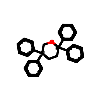 c1ccc([Si]2(c3ccccc3)CC[Si](c3ccccc3)(c3ccccc3)OC2)cc1